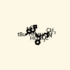 Cc1noc(C)c1CC(=O)N[C@@H](Cc1ccccc1)[C@H](O)CN[C@H]1CC2(CCC2)Oc2ncc(CC(C)(C)C)cc21